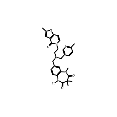 CCN1C(=O)C(C)(C)C(=O)N(C)c2cc(CN(CCn3ccc4oc(C)cc4c3=O)Cc3ccc(C)nc3)ccc21